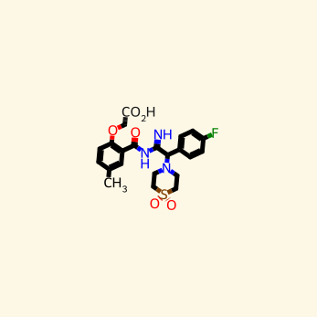 Cc1ccc(OCC(=O)O)c(C(=O)NC(=N)C(c2ccc(F)cc2)N2CCS(=O)(=O)CC2)c1